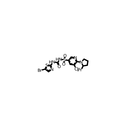 CC(C)C1CCCN1c1ncc(S(=O)(=O)NC(=O)Nc2ncc(Br)s2)cc1Cl